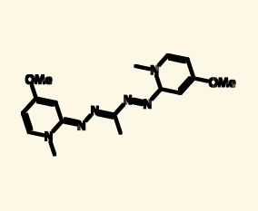 COC1=CC(/N=N/C(C)=N/N=c2\cc(OC)ccn2C)N(C)C=C1